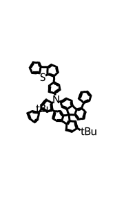 CC(C)(C)c1ccc2c(c1)C1(c3cc(C(C)(C)C)ccc3-2)c2cc(N(c3ccc(-c4ccccc4)cc3)c3ccc(-c4cccc5c4sc4ccccc45)cc3)ccc2-c2c(-c3ccccc3)cccc21